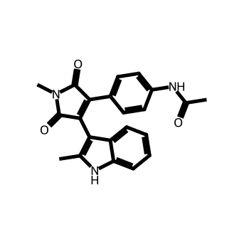 CC(=O)Nc1ccc(C2=C(c3c(C)[nH]c4ccccc34)C(=O)N(C)C2=O)cc1